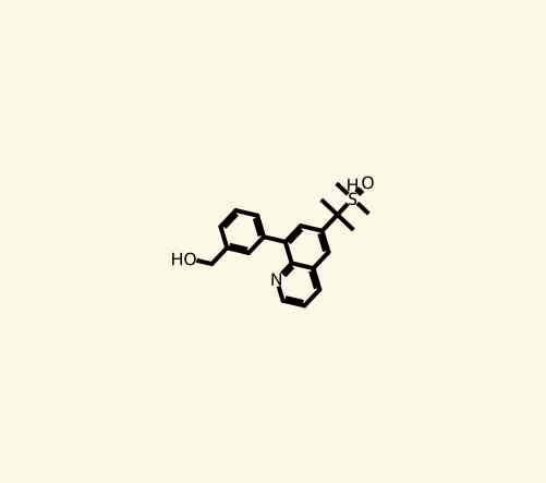 CC(C)(c1cc(-c2cccc(CO)c2)c2ncccc2c1)[SH](C)(C)=O